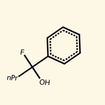 C[CH]CC(O)(F)c1ccccc1